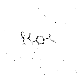 C/C=C(/C)C(=O)Nc1ccc(C(C)=O)cc1